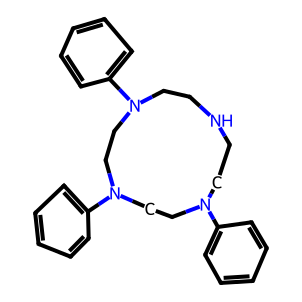 c1ccc(N2CCNCCN(c3ccccc3)CCN(c3ccccc3)CC2)cc1